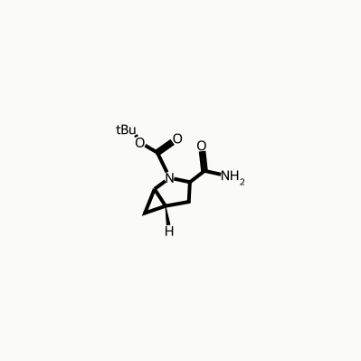 CC(C)(C)OC(=O)N1C(C(N)=O)C[C@@H]2CC21